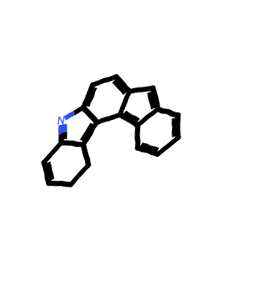 C1=CC2=Nc3ccc4c(c3=C2CC1)=c1ccccc1=C4